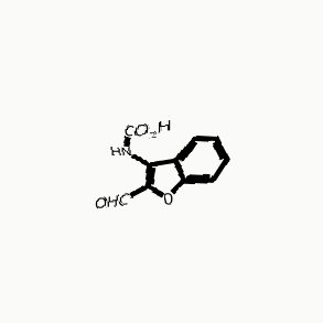 O=Cc1oc2ccccc2c1NC(=O)O